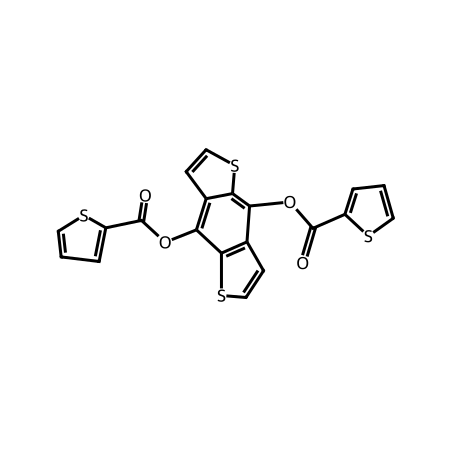 O=C(Oc1c2ccsc2c(OC(=O)c2cccs2)c2ccsc12)c1cccs1